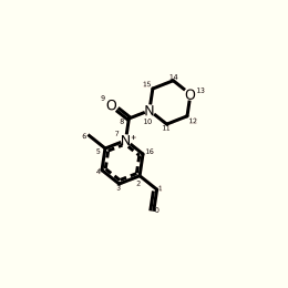 C=Cc1ccc(C)[n+](C(=O)N2CCOCC2)c1